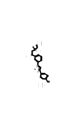 CCC1(CO)CC(=O)c2cc(-c3cc(-c4ccc(C(=O)O)cc4)no3)ccc2O1